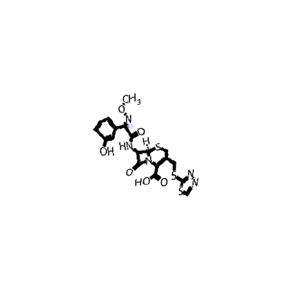 CO/N=C(/C(=O)NC1C(=O)N2C(C(=O)O)=C(CSc3nncs3)CS[C@H]12)c1cccc(O)c1